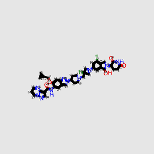 O=C1CCC(N2Cc3c(F)cc(N4CC(F)(CN5CCC(n6cc7cc(NC(=O)c8cnn9cccnc89)c(OCC8CC8)cc7n6)CC5)C4)cc3C2O)C(=O)N1